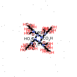 O=C(O)C(CCN(C[C@H](O)[C@@H](O)[C@H](O)[C@H](O)CO)C(=O)CCO)N1CCN(C(CCN(C[C@H](O)[C@@H](O)[C@H](O)[C@H](O)CO)C(=O)CCO)C(=O)O)CCN(C(CCN(C[C@H](O)[C@@H](O)[C@H](O)[C@H](O)CO)C(=O)CCO)C(=O)O)CCN(C(CCN(C[C@H](O)[C@@H](O)[C@H](O)[C@H](O)CO)C(=O)CCO)C(=O)O)CC1